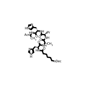 CCCCCCCCCCCCCCCC(=O)N[C@@H](Cc1c[nH]cn1)C(=O)N[C@@H](C)C(=O)N[C@@H](C(=O)N[C@@H](Cc1c[nH]cn1)C(=O)N[C@@H](C)C(C)=O)C(C)C